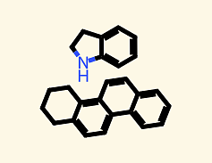 c1ccc2c(c1)CCN2.c1ccc2c(c1)ccc1c3c(ccc12)CCCC3